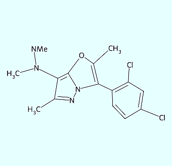 CNN(C)c1c(C)nn2c(-c3ccc(Cl)cc3Cl)c(C)oc12